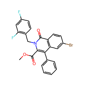 COC(=O)c1c(-c2ccccc2)c2cc(Br)ccc2c(=O)n1Cc1ccc(F)cc1F